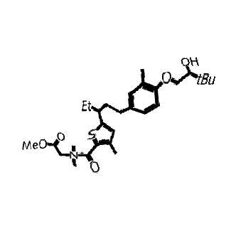 CCC(CCc1ccc(OCC(O)C(C)(C)C)c(C)c1)c1cc(C)c(C(=O)[N+](C)(C)CC(=O)OC)s1